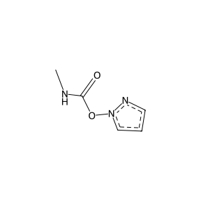 CNC(=O)On1cccn1